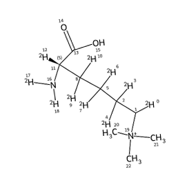 [2H]C(C([2H])([2H])C([2H])([2H])C([2H])([2H])[C@@]([2H])(C(=O)O)N([2H])[2H])[N+](C)(C)C